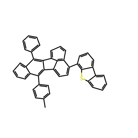 Cc1ccc(-c2c3c(c(-c4ccccc4)c4ccccc24)-c2cccc4c(-c5cccc6c5sc5ccccc56)ccc-3c24)cc1